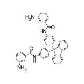 Nc1cccc(C(=O)Nc2ccc(C3(c4ccc(NC(=O)c5cccc(N)c5)cc4)c4ccccc4-c4ccccc43)cc2)c1